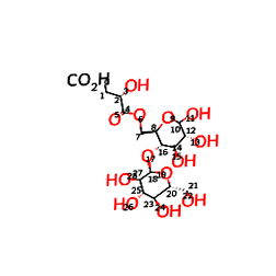 O=C(O)C[C@H](O)C(=O)OC[C@H]1OC(O)[C@H](O)[C@@H](O)[C@@H]1O[C@H]1O[C@H](CO)[C@@H](O)[C@H](O)[C@H]1O